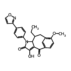 CCC1Cc2cc(ccc2OC)C(=O)C2=C(O)C(=O)N(c3ccc(-c4ccon4)cc3)C21